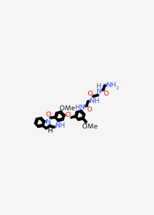 COCc1cc(COc2cc3c(cc2OC)C(=O)N2c4ccccc4C[C@H]2CN3)cc(NC(=O)CNC(=O)CNC(=O)CN)c1